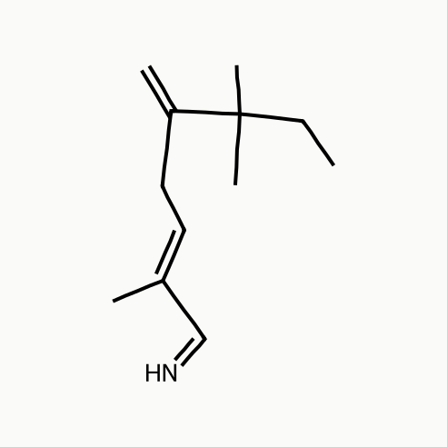 C=C(C/C=C(\C)C=N)C(C)(C)CC